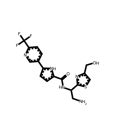 NCC(NC(=O)c1ccc(-c2ccc(C(F)(F)F)nc2)[nH]1)c1nc(CO)cs1